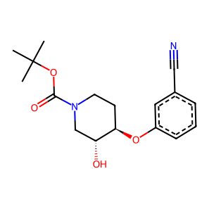 CC(C)(C)OC(=O)N1CC[C@@H](Oc2cccc(C#N)c2)[C@H](O)C1